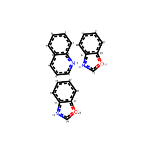 c1ccc2ncccc2c1.c1ccc2ocnc2c1.c1ccc2ocnc2c1